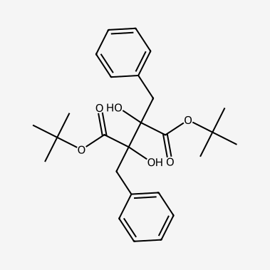 CC(C)(C)OC(=O)C(O)(Cc1ccccc1)C(O)(Cc1ccccc1)C(=O)OC(C)(C)C